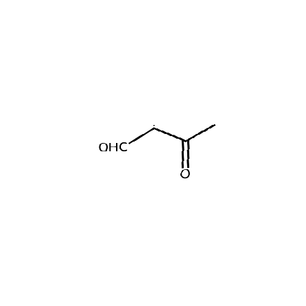 CC(=O)[CH]C=O